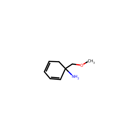 COCC1(N)C=CC=CC1